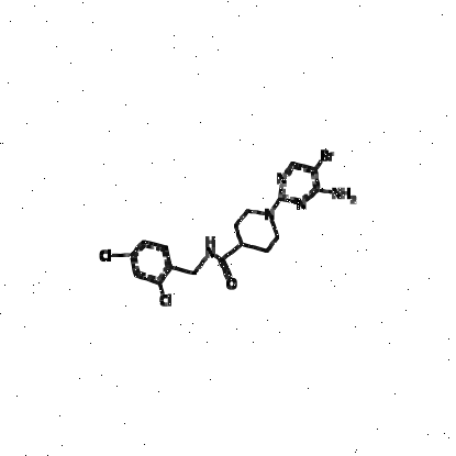 Nc1nc(N2CCC(C(=O)NCc3ccc(Cl)cc3Cl)CC2)ncc1Br